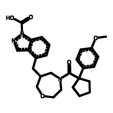 COc1ccc(C2(C(=O)N3CCOCC(Cc4cccc5c4cnn5C(=O)O)C3)CCCC2)cc1